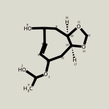 CC(O)OC1/C=C/C(O)C[C@H]2OCO[C@H]2C1